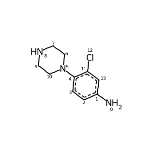 Nc1ccc(N2CCNCC2)c(Cl)c1